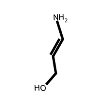 N/C=C/CO